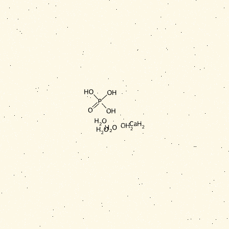 O.O.O.O.O=P(O)(O)O.[CaH2]